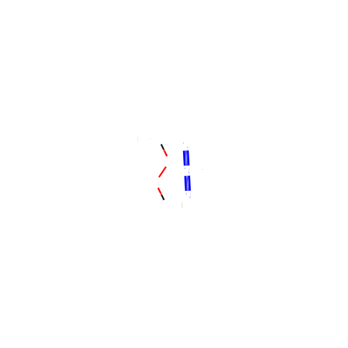 O=S(=O)(O)OOS(=O)(=O)O.[K+].[N-]=[N+]=[N-]